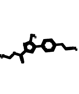 C=CCc1ccc(-c2cc(C(=O)OCC)nn2C)cc1